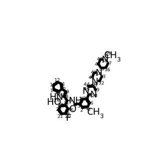 Cc1cc(C(=O)N[C@@H](c2cc3ccccc3[nH]2)c2cc(F)ccc2O)cc(-c2ncc(N3CCN(C4CCN(C)CC4)CC3)cn2)c1